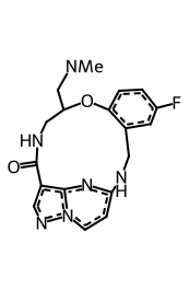 CNCC1CNC(=O)c2cnn3ccc(nc23)NCc2cc(F)ccc2O1